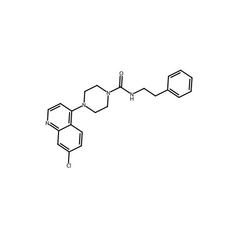 O=C(NCCc1ccccc1)N1CCN(c2ccnc3cc(Cl)ccc23)CC1